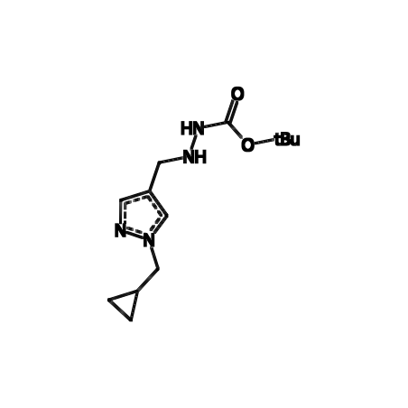 CC(C)(C)OC(=O)NNCc1cnn(CC2CC2)c1